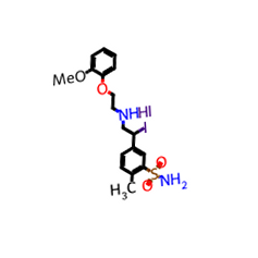 COc1ccccc1OCCNCC(I)c1ccc(C)c(S(N)(=O)=O)c1.I